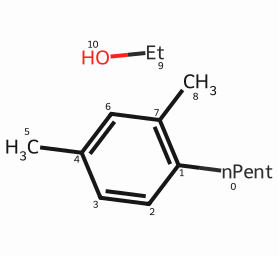 CCCCCc1ccc(C)cc1C.CCO